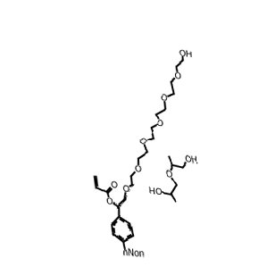 C=CC(=O)OC(COCCOCCOCCOCCOCCOCCO)c1ccc(CCCCCCCCC)cc1.CC(O)COC(C)CO